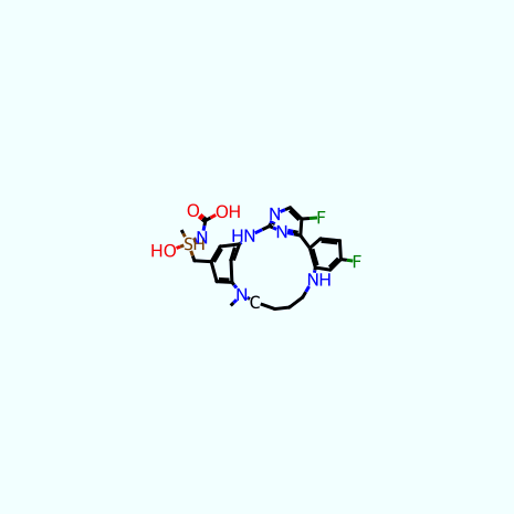 CN1CCCCNc2cc(F)ccc2-c2nc(ncc2F)Nc2cc(C[SH](C)(O)=NC(=O)O)cc1c2